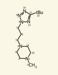 CN1CCN(CCCn2nnc(C(C)(C)C)n2)CC1